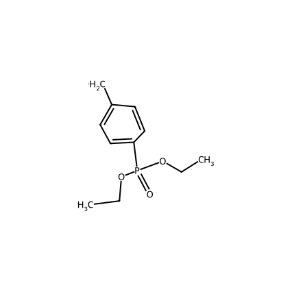 [CH2]c1ccc(P(=O)(OCC)OCC)cc1